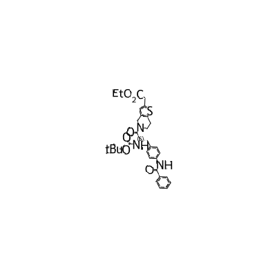 CCOC(=O)Cc1cc2c(s1)CCN(C(=O)[C@H](Cc1ccc(NC(=O)c3ccccc3)cc1)NC(=O)OC(C)(C)C)C2